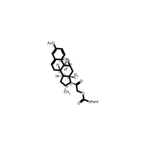 CCCCCC(=O)OCC(=O)[C@H]1[C@H](C)C[C@H]2[C@@H]3CC=C4C=C(OC(C)=O)C=C[C@]4(C)[C@@]34O[C@H]4C[C@@]21C